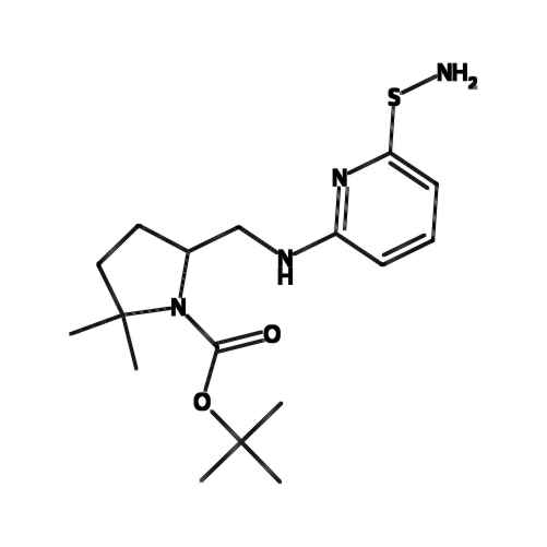 CC(C)(C)OC(=O)N1C(CNc2cccc(SN)n2)CCC1(C)C